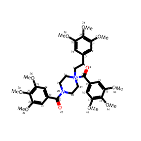 COc1cc(CC[N+]2(C(=O)c3cc(OC)c(OC)c(OC)c3)CCN(C(=O)c3cc(OC)c(OC)c(OC)c3)CC2)cc(OC)c1OC